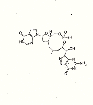 CC1CC2C[C@H](n3ccc4c(=O)[nH]cnc43)O[C@@H]2COP(=O)(S)O[C@@H]([C@@H](O)n2nnc3c(=O)[nH]c(N)nc32)C1